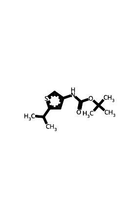 CC(C)c1cc(NC(=O)OC(C)(C)C)cs1